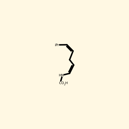 CC(C)/C=C\C/C=C\NC(=O)O